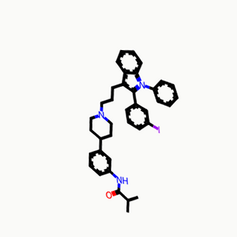 CC(C)C(=O)Nc1cccc(C2CCN(CCCc3c(-c4cccc(I)c4)n(-c4ccccc4)c4ccccc34)CC2)c1